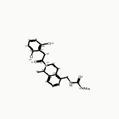 CNC(=O)NCc1cccc2c1CCN(C(=O)Cc1c(Cl)cccc1Cl)C2C